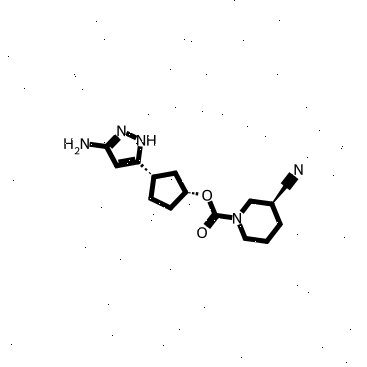 N#C[C@H]1CCCN(C(=O)O[C@@H]2CC[C@H](c3cc(N)n[nH]3)C2)C1